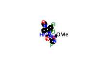 COCCOc1ncc(F)cc1C(=O)NC1N=C(c2c(Cl)cc(Cl)cc2CN2CCOCC2)c2ccccc2NC1=O